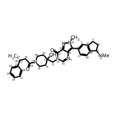 CNC1CCc2cc(-c3c4ncn(CC5(O)CCN(C(=O)C[C@@H](C)c6ccccc6)CC5)c(=O)c4nn3C)ccc21